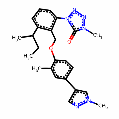 CCC(C)c1cccc(-n2nnn(C)c2=O)c1COc1ccc(-c2cnn(C)c2)cc1C